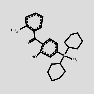 C[N+](c1ccc(C(=O)c2ccccc2C(=O)O)c(O)c1)(C1CCCCC1)C1CCCCC1